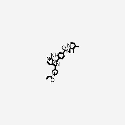 C=CC(=O)N1CCC(c2nc(-c3ccc(C(=O)Nc4cc(C)ccn4)cc3)n3c(N)nccc23)C1